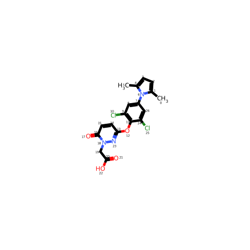 Cc1ccc(C)n1-c1cc(Cl)c(Oc2ccc(=O)n(CC(=O)O)n2)c(Cl)c1